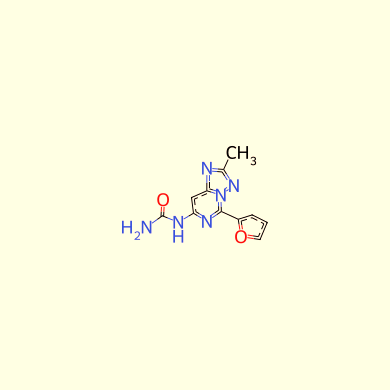 Cc1nc2cc(NC(N)=O)nc(-c3ccco3)n2n1